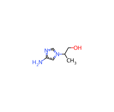 CC(CO)n1cnc(N)c1